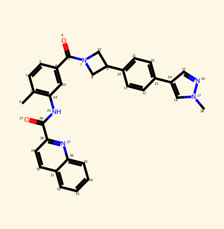 Cc1ccc(C(=O)N2CC(c3ccc(-c4cnn(C)c4)cc3)C2)cc1NC(=O)c1ccc2ccccc2n1